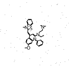 CCN(CCN(C)C)C1=C/C(=C\c2sc3ccccc3[n+]2C)c2ccc(OC)cc2N1c1ccccc1